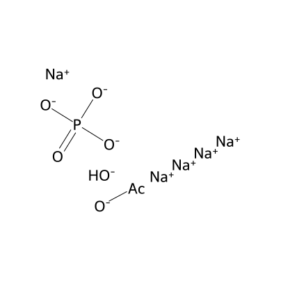 CC(=O)[O-].O=P([O-])([O-])[O-].[Na+].[Na+].[Na+].[Na+].[Na+].[OH-]